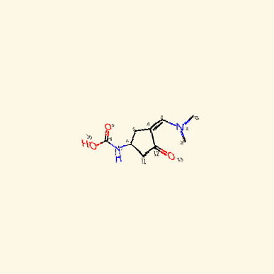 CN(C)/C=C1/CC(NC(=O)O)CC1=O